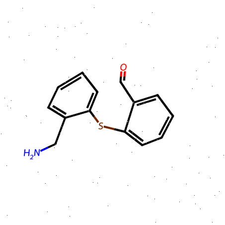 NCc1ccccc1Sc1ccccc1C=O